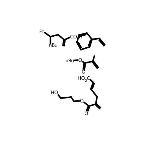 C=C(C)C(=O)OCCCC.C=C(CC(CC)CCCC)C(=O)O.C=C(CC=CC(=O)O)C(=O)OCCCO.C=Cc1ccccc1